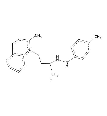 Cc1ccc(NNC(C)CC[n+]2c(C)ccc3ccccc32)cc1.[I-]